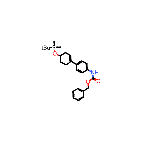 CC(C)(C)[Si](C)(C)OC1CC=C(c2ccc(NC(=O)OCc3ccccc3)cc2)CC1